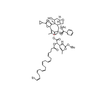 CC/C=C\C/C=C\C/C=C\C/C=C\C/C=C\C/C=C\CCC(=O)O[C@@H](C(=O)O[C@H]1C[C@@]2(O)[C@@H](OC(=O)c3ccccc3)[C@@H]3[C@]4(OC(C)=O)CO[C@@H]4C[C@H](O)[C@@]3(C)C(=O)[C@H](OC(=O)C3CC3)C(=C1C)C2(C)C)[C@H](C=C(C)C)NC(=O)OC(C)(C)C